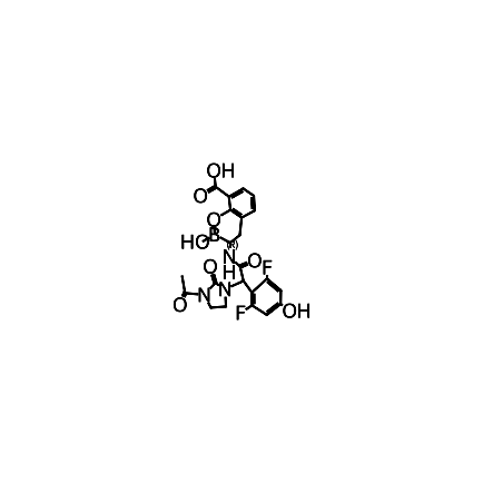 CC(=O)N1CCN(C(C(=O)N[C@H]2Cc3cccc(C(=O)O)c3OB2O)c2c(F)cc(O)cc2F)C1=O